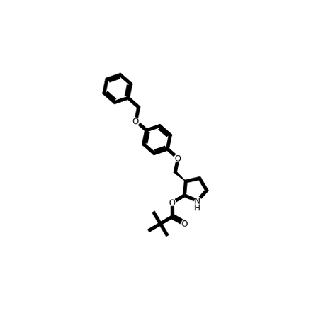 CC(C)(C)C(=O)OC1NCC[C@@H]1COc1ccc(OCc2ccccc2)cc1